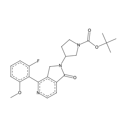 COc1cccc(F)c1-c1nccc2c1CN(C1CCN(C(=O)OC(C)(C)C)C1)C2=O